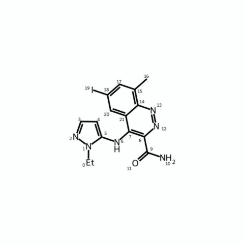 CCn1nccc1Nc1c(C(N)=O)nnc2c(C)cc(I)cc12